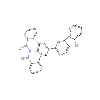 O=c1c2ccccc2c2cc(-c3ccc4oc5ccccc5c4c3)cc3c4ccccc4c(=O)n1c23